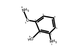 NOc1cccc(N)c1O